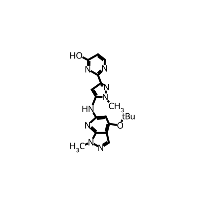 Cn1nc(-c2nccc(O)n2)cc1Nc1cc(OC(C)(C)C)c2cnn(C)c2n1